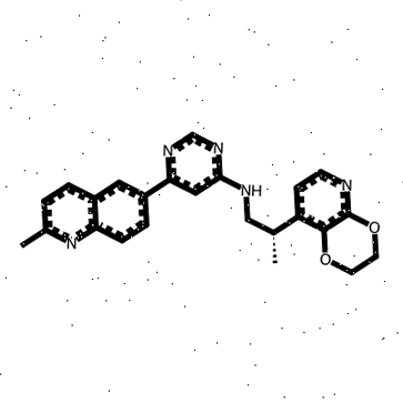 Cc1ccc2cc(-c3cc(NC[C@@H](C)c4ccnc5c4OCCO5)ncn3)ccc2n1